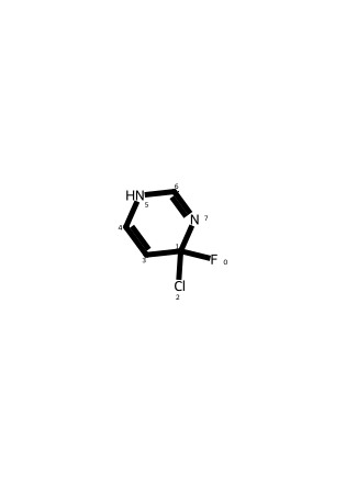 FC1(Cl)C=CN[C]=N1